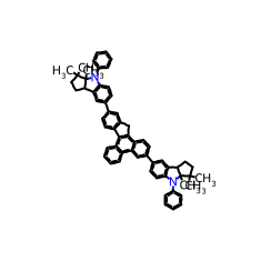 CC1(C)CCC2c3cc(-c4ccc5c(c4)Cc4c-5c5ccccc5c5cc(-c6ccc7c(c6)C6CCC(C)(C)C6(C)N7c6ccccc6)ccc45)ccc3N(c3ccccc3)C21C